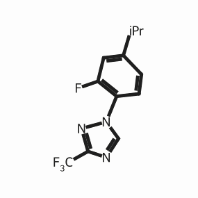 CC(C)c1ccc(-n2cnc(C(F)(F)F)n2)c(F)c1